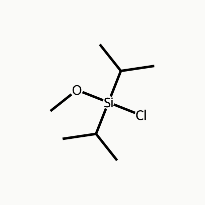 CO[Si](Cl)(C(C)C)C(C)C